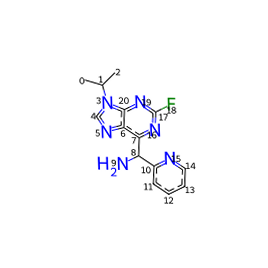 CC(C)n1cnc2c(C(N)c3ccccn3)nc(F)nc21